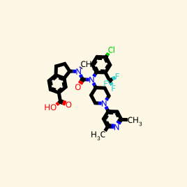 Cc1cc(N2CCC(N(C(=O)N(C)C3CCc4ccc(C(=O)O)cc43)c3ccc(Cl)cc3C(F)(F)F)CC2)cc(C)n1